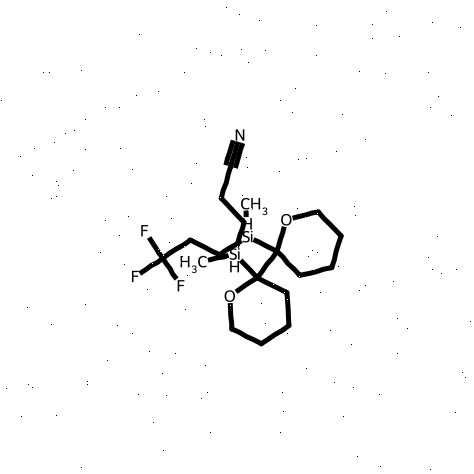 C[SiH](CCC#N)C1(C2([SiH](C)CCC(F)(F)F)CCCCO2)CCCCO1